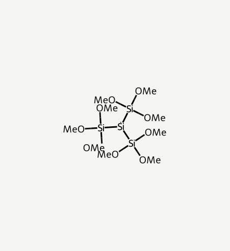 CO[Si](OC)(OC)[Si]([Si](OC)(OC)OC)[Si](OC)(OC)OC